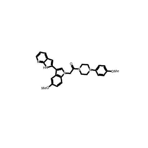 COc1ccc(N2CCN(C(=O)Cn3cc(-c4cc5cccnc5[nH]4)c4cc(OC)ccc43)CC2)cc1